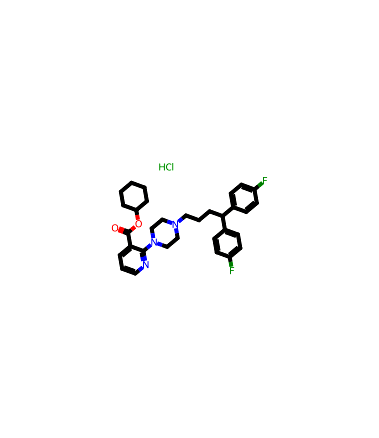 Cl.O=C(OC1CCCCC1)c1cccnc1N1CCN(CCCC(c2ccc(F)cc2)c2ccc(F)cc2)CC1